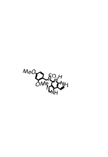 COc1ccc(CN(C(=O)O)c2nc3[nH]ccc3c3[nH]cnc23)c(OC)c1